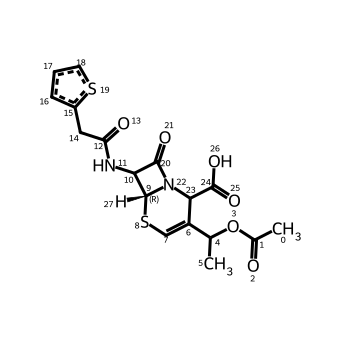 CC(=O)OC(C)C1=CS[C@@H]2C(NC(=O)Cc3cccs3)C(=O)N2C1C(=O)O